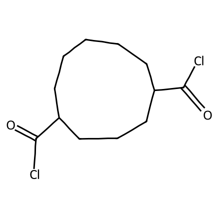 O=C(Cl)C1CCCCCC(C(=O)Cl)CCC1